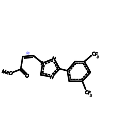 COC(=O)/C=C\n1cnc(-c2cc(C(F)(F)F)cc(C(F)(F)F)c2)n1